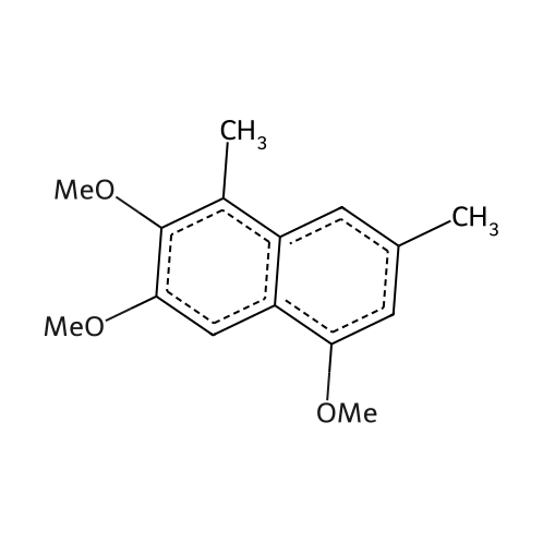 COc1cc2c(OC)cc(C)cc2c(C)c1OC